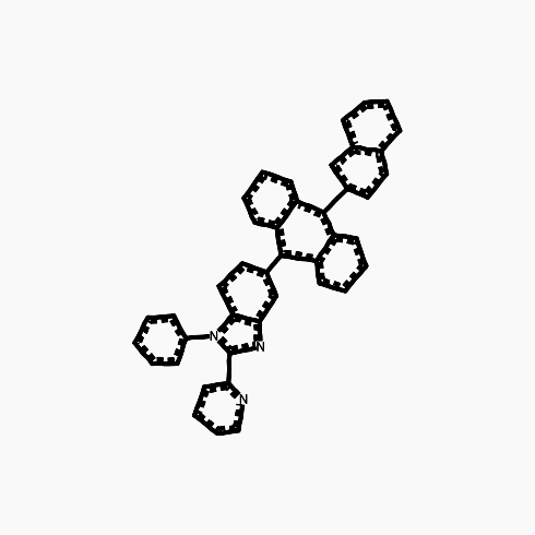 c1ccc(-n2c(-c3ccccn3)nc3cc(-c4c5ccccc5c(-c5ccc6ccccc6c5)c5ccccc45)ccc32)cc1